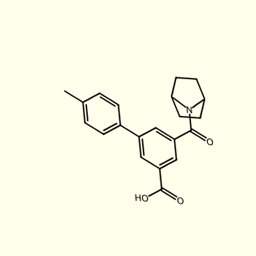 Cc1ccc(-c2cc(C(=O)O)cc(C(=O)N3C4CCC3CC4)c2)cc1